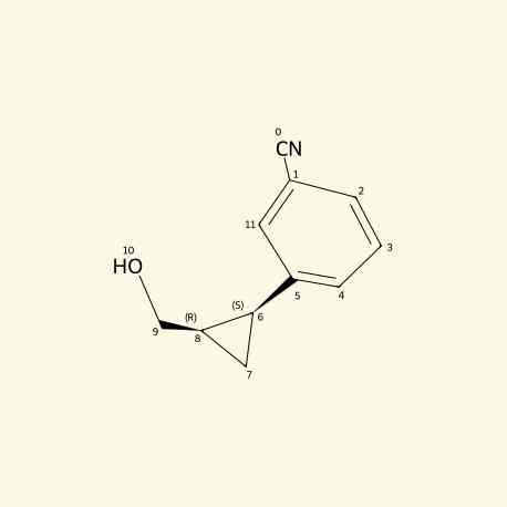 N#Cc1cccc([C@H]2C[C@H]2CO)c1